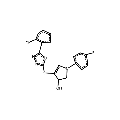 OC1CN(c2ccc(F)cc2)C=C1Sc1nnc(-c2ccccc2Cl)o1